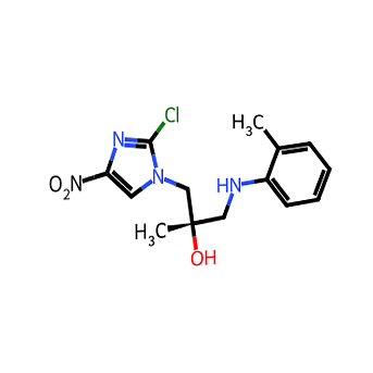 Cc1ccccc1NC[C@](C)(O)Cn1cc([N+](=O)[O-])nc1Cl